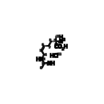 CC(=N)NC/C=C\CC[C@](C)(N)C(=O)O.Cl